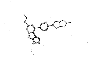 CCOc1cc(-c2ccc(N3CC4CC(C)CC4C3)nc2)c2c3cn[nH]c3nn2c1